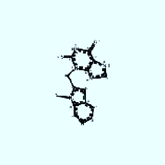 Cn1c(Cn2c(=S)[nH]c(=O)c3[nH]cnc32)cc2ccccc21